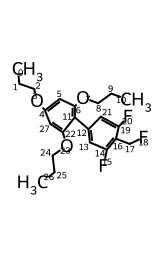 CCCOc1cc(OCCC)c(-c2cc(F)c(CF)c(F)c2)c(OCCC)c1